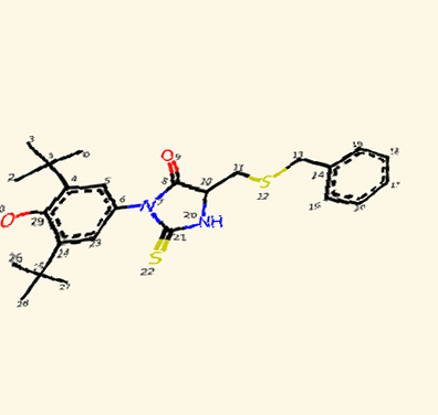 CC(C)(C)c1cc(N2C(=O)C(CSCc3ccccc3)NC2=S)cc(C(C)(C)C)c1O